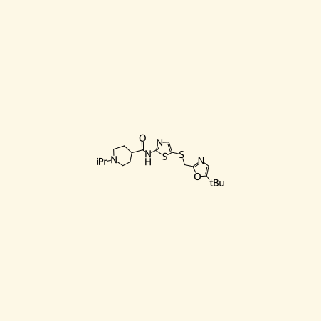 CC(C)N1CCC(C(=O)Nc2ncc(SCc3ncc(C(C)(C)C)o3)s2)CC1